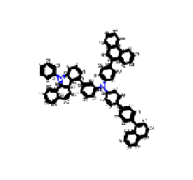 c1ccc(-n2c3cccc(-c4cccc(N(c5ccc(-c6ccc(-c7cccc8ccccc78)cc6)cc5)c5ccc(-c6cc7ccccc7c7ccccc67)cc5)c4)c3c3ccc4ccccc4c32)cc1